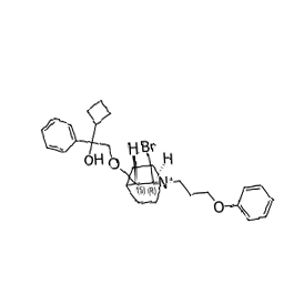 OC(CO[C@H]1C2CC[N+](CCCOc3ccccc3)(CC2)[C@@H]1Br)(c1ccccc1)C1CCC1